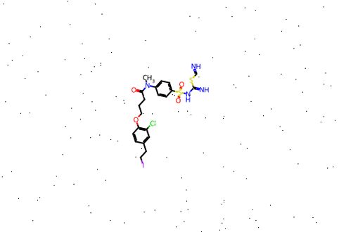 CN(C(=O)CCCOc1ccc(CCI)cc1Cl)c1ccc(S(=O)(=O)NC(=N)SC=N)cc1